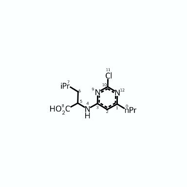 CCCc1cc(NC(CC(C)C)C(=O)O)nc(Cl)n1